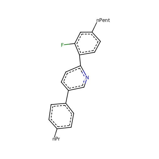 CCCCCc1ccc(-c2ccc(-c3ccc(CCC)cc3)cn2)c(F)c1